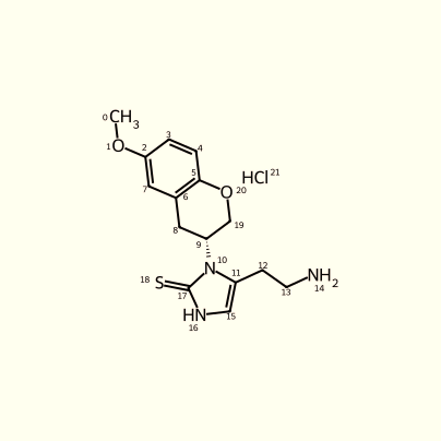 COc1ccc2c(c1)C[C@@H](n1c(CCN)c[nH]c1=S)CO2.Cl